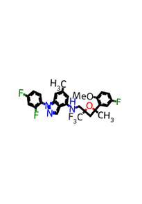 COc1ccc(F)cc1C1(C)CC(CNc2cc(C)cc3c2cnn3-c2ccc(F)cc2F)(C(F)(F)F)O1